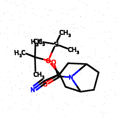 CC(C)(C)OC(=O)N1C2CCC1CC(C#N)(O[Si](C)(C)C)C2